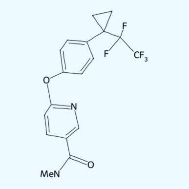 CNC(=O)c1ccc(Oc2ccc(C3(C(F)(F)C(F)(F)F)CC3)cc2)nc1